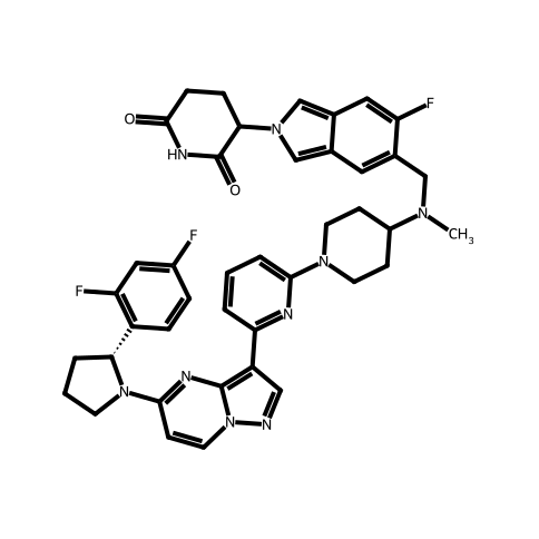 CN(Cc1cc2cn(C3CCC(=O)NC3=O)cc2cc1F)C1CCN(c2cccc(-c3cnn4ccc(N5CCC[C@@H]5c5ccc(F)cc5F)nc34)n2)CC1